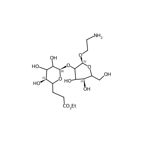 CCOC(=O)CCC1O[C@H](OC2C(O)[C@H](O)C(CO)O[C@@H]2OCCN)C(O)C(O)[C@@H]1O